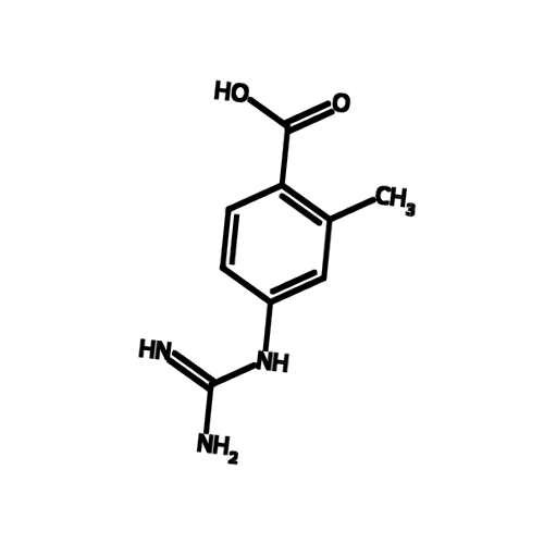 Cc1cc(NC(=N)N)ccc1C(=O)O